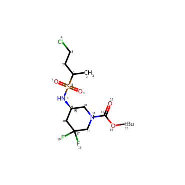 CC(CCCl)S(=O)(=O)N[C@H]1CN(C(=O)OC(C)(C)C)CC(F)(F)C1